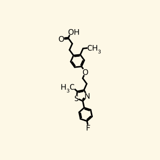 CCc1cc(OCCc2nc(-c3ccc(F)cc3)sc2C)ccc1CCC(=O)O